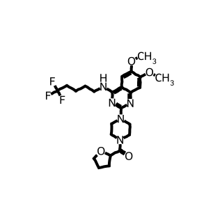 COc1cc2nc(N3CCN(C(=O)C4CCCO4)CC3)nc(NCCCCC(F)(F)F)c2cc1OC